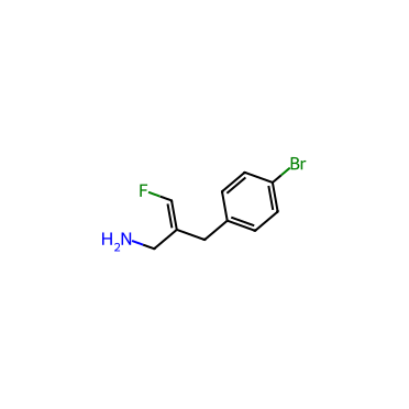 NCC(=CF)Cc1ccc(Br)cc1